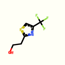 OCCc1nc(C(F)(F)F)cs1